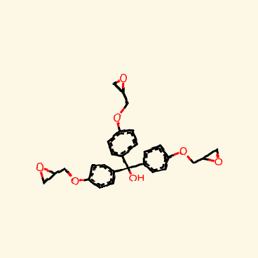 OC(c1ccc(OCC2CO2)cc1)(c1ccc(OCC2CO2)cc1)c1ccc(OCC2CO2)cc1